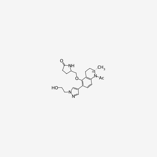 CC(=O)N1c2ccc(-c3cnn(CCO)c3)c(OCC3CCC(=O)N3)c2CC[C@@H]1C